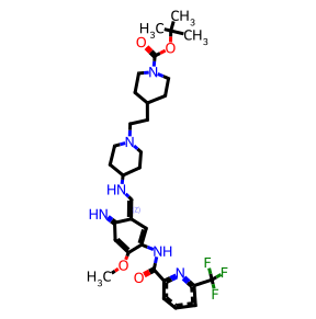 COC1=CC(=N)/C(=C\NC2CCN(CCC3CCN(C(=O)OC(C)(C)C)CC3)CC2)C=C1NC(=O)c1cccc(C(F)(F)F)n1